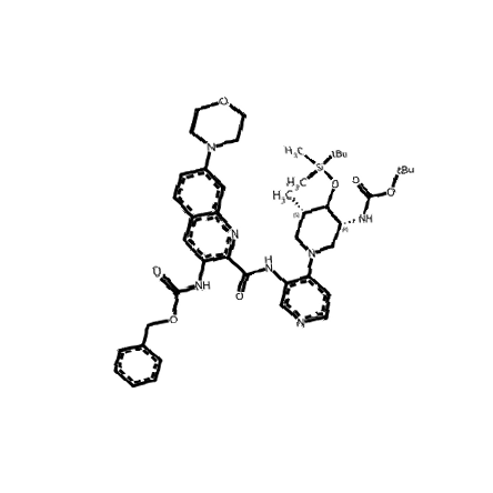 C[C@H]1CN(c2ccncc2NC(=O)c2nc3cc(N4CCOCC4)ccc3cc2NC(=O)OCc2ccccc2)C[C@@H](NC(=O)OC(C)(C)C)C1O[Si](C)(C)C(C)(C)C